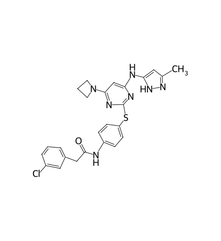 Cc1cc(Nc2cc(N3CCC3)nc(Sc3ccc(NC(=O)Cc4cccc(Cl)c4)cc3)n2)[nH]n1